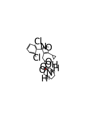 O=C(Cc1c(-c2c(Cl)cccc2Cl)noc1C1CC1)O[C@@H]1C[C@H]2CC[C@@H](C1)N2C(=O)O